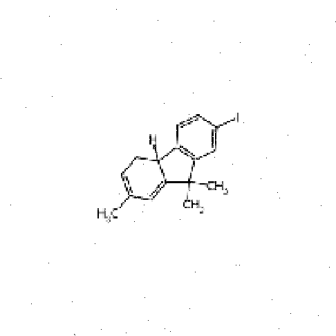 CC1=CC[C@H]2C(=C1)C(C)(C)c1cc(I)ccc12